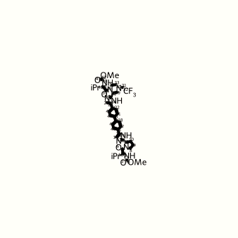 COC(=O)N[C@H](C(=O)N1CCC[C@H]1c1ncc(-c2ccc(-c3ccc(-c4cnc([C@@H]5CN(CC(F)(F)F)CCN5C(=O)[C@@H](NC(=O)OC)C(C)C)[nH]4)cc3)cc2)[nH]1)C(C)C